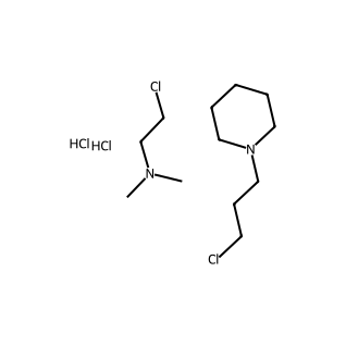 CN(C)CCCl.Cl.Cl.ClCCCN1CCCCC1